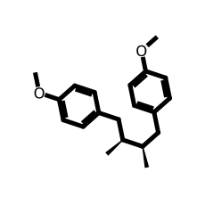 COc1ccc(C[C@@H](C)[C@@H](C)Cc2ccc(OC)cc2)cc1